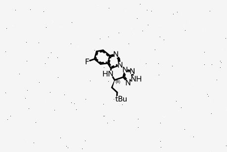 CC(C)(C)CC[C@@H](Nc1ncnc2ccc(F)cc12)c1nn[nH]n1